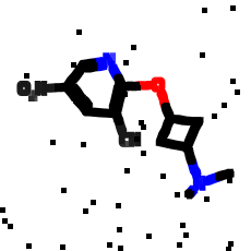 CN(C)C1CC(Oc2ncc([N+](=O)[O-])cc2C#N)C1